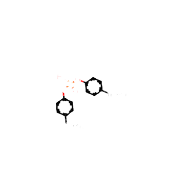 CCCCCc1ccc(OP(=O)(O)Oc2ccc(CCCCC)cc2)cc1